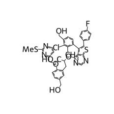 CSc1nccc(COc2ccc(CO)cc2CC(Oc2ncnc3sc(-c4ccc(F)cc4)c(-c4ccc(CO)c(Cl)c4C)c23)C(=O)O)n1